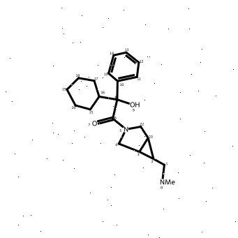 CNCC1C2CN(C(=O)C(O)(c3ccccc3)C3CCCCC3)CC12